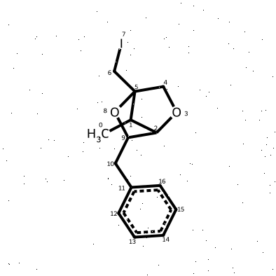 CC1C2OCC1(CI)OC2Cc1ccccc1